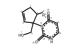 CC1CC=CC1(CO)n1c(=O)cc[nH]c1=O